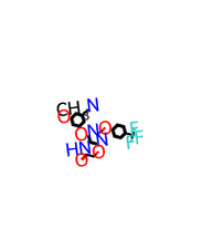 COc1cc(C#N)cc(Oc2nc(Oc3ccc(C(F)(F)F)cc3)nc3c2NC(=O)CO3)c1